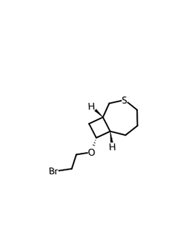 BrCCO[C@@H]1C[C@@H]2CSCCC[C@@H]21